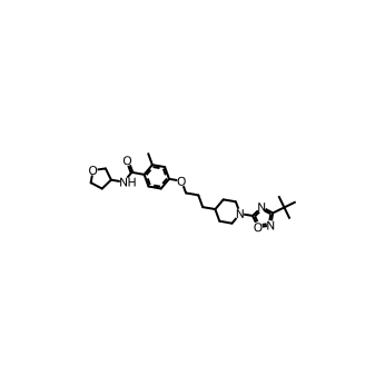 Cc1cc(OCCCC2CCN(c3nc(C(C)(C)C)no3)CC2)ccc1C(=O)NC1CCOC1